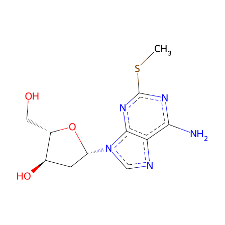 CSc1nc(N)c2ncn([C@@H]3C[C@@H](O)[C@H](CO)O3)c2n1